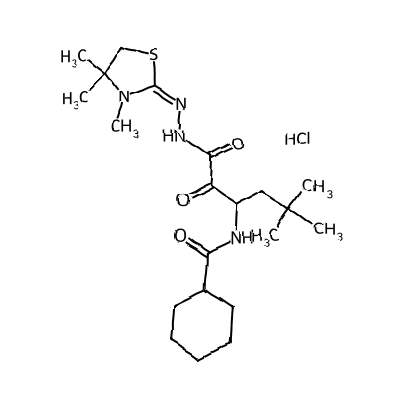 CN1C(=NNC(=O)C(=O)C(CC(C)(C)C)NC(=O)C2CCCCC2)SCC1(C)C.Cl